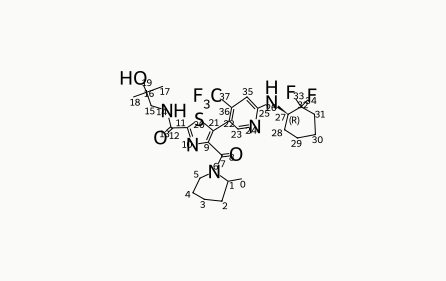 CC1CCCCN1C(=O)c1nc(C(=O)NCC(C)(C)O)sc1-c1cnc(N[C@@H]2CCCCC2(F)F)cc1C(F)(F)F